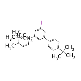 C=C(/C=C\C(C)C(C)(C)C)c1cc(I)cc(-c2ccc(C(C)(C)C)cc2)c1